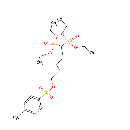 CCOP(=O)(OCC)C(CCCCOS(=O)(=O)c1ccc(C)cc1)P(=O)(OCC)OCC